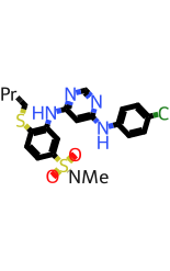 CNS(=O)(=O)c1ccc(SCC(C)C)c(Nc2cc(Nc3ccc(Cl)cc3)ncn2)c1